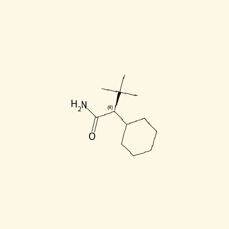 CC(C)(C)[C@H](C(N)=O)C1CCCCC1